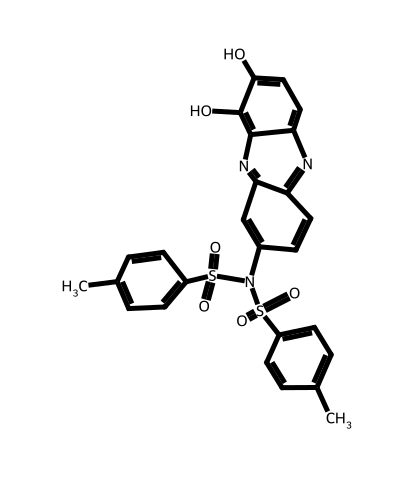 Cc1ccc(S(=O)(=O)N(c2ccc3nc4ccc(O)c(O)c4nc3c2)S(=O)(=O)c2ccc(C)cc2)cc1